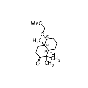 COCO[C@H]1CCC[C@H]2C(C)(C)C(=O)CC[C@]12C